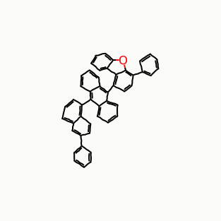 c1ccc(-c2ccc3c(-c4c5ccccc5c(-c5ccc(-c6ccccc6)c6oc7ccccc7c56)c5ccccc45)cccc3c2)cc1